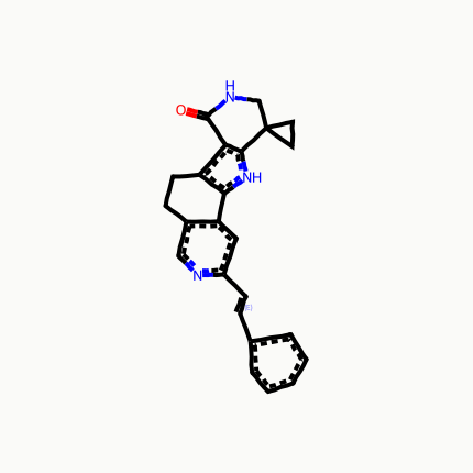 O=C1NCC2(CC2)c2[nH]c3c(c21)CCc1cnc(/C=C/c2ccccc2)cc1-3